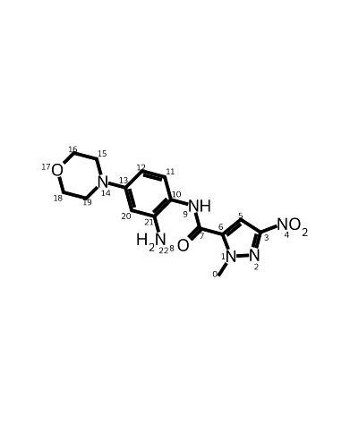 Cn1nc([N+](=O)[O-])cc1C(=O)Nc1ccc(N2CCOCC2)cc1N